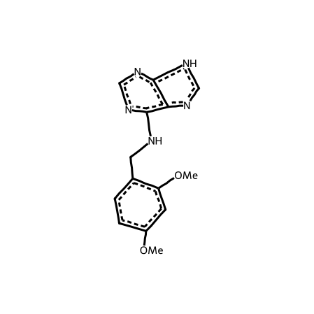 COc1ccc(CNc2ncnc3[nH]cnc23)c(OC)c1